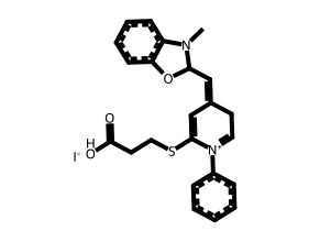 CN1c2ccccc2OC1C=C1C=C(SCCC(=O)O)[N+](c2ccccc2)=CC1.[I-]